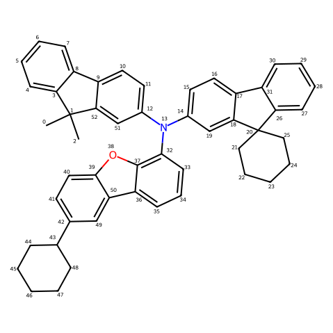 CC1(C)c2ccccc2-c2ccc(N(c3ccc4c(c3)C3(CCCCC3)c3ccccc3-4)c3cccc4c3oc3ccc(C5CCCCC5)cc34)cc21